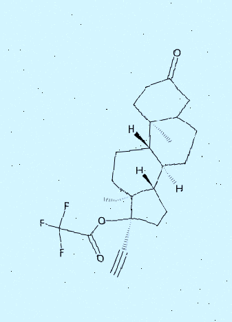 C#C[C@@]1(OC(=O)C(F)(F)F)CC[C@H]2[C@@H]3CCC4CC(=O)CC[C@]4(C)[C@H]3CC[C@@]21C